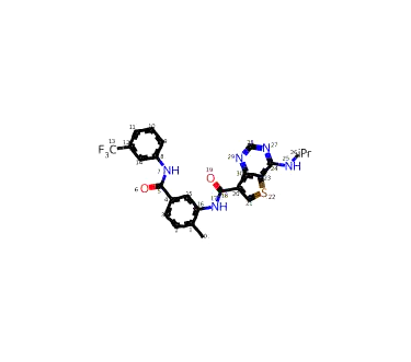 Cc1ccc(C(=O)Nc2cccc(C(F)(F)F)c2)cc1NC(=O)c1csc2c(NC(C)C)ncnc12